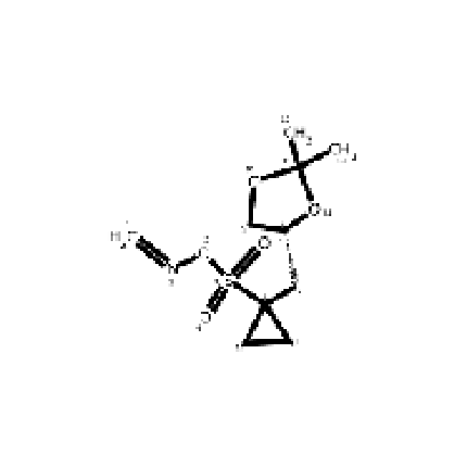 C=NOS(=O)(=O)C1(C[C@@H]2COC(C)(C)O2)CC1